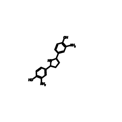 Nc1cc(C2CCC(c3ccc(O)c(N)c3)N2)ccc1O